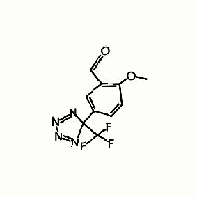 COc1ccc(C2(C(F)(F)F)N=NN=N2)cc1C=O